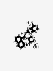 Nc1ncnc2c1nc(NCc1cccc3ccccc13)n2[C@@H]1O[C@H](CO)[C@@H](O)[C@H]1O